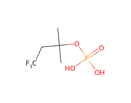 CC(C)(CC(F)(F)F)OP(=O)(O)O